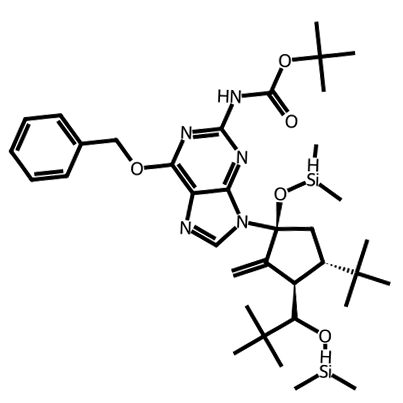 C=C1[C@H](C(O[SiH](C)C)C(C)(C)C)[C@@H](C(C)(C)C)C[C@@]1(O[SiH](C)C)n1cnc2c(OCc3ccccc3)nc(NC(=O)OC(C)(C)C)nc21